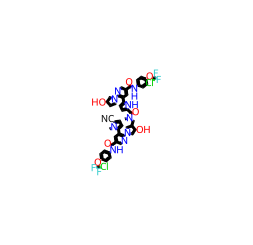 CN(CC1CN(c2ncc(C(=O)Nc3ccc(OC(F)(F)Cl)cc3)cc2-c2ccc(C#N)n2C)C[C@@H]1O)C(=O)c1ccc(-c2cc(C(=O)Nc3ccc(OC(F)(F)Cl)cc3)cnc2N2CC[C@@H](O)C2)[nH]1